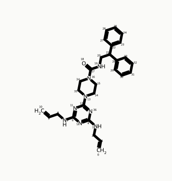 C=CCNc1nc(NCC=C)nc(N2CCN(C(=O)NCC(c3ccccc3)c3ccccc3)CC2)n1